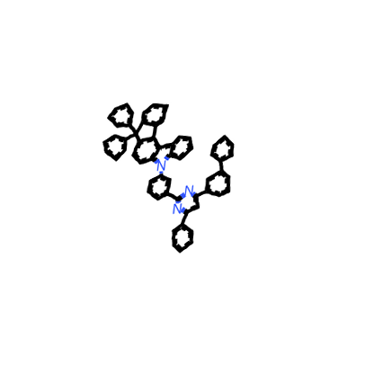 c1ccc(-c2cccc(-c3cc(-c4ccccc4)nc(-c4cccc(-n5c6ccccc6c6c7c(ccc65)C(c5ccccc5)(c5ccccc5)c5ccccc5-7)c4)n3)c2)cc1